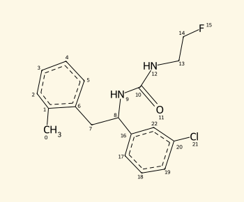 Cc1ccccc1CC(NC(=O)NCCF)c1cccc(Cl)c1